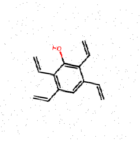 C=Cc1cc(C=C)c(C=C)c(O)c1C=C